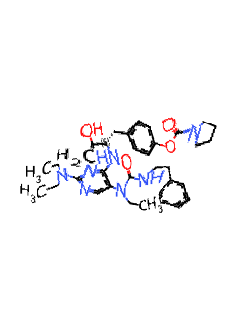 C=C(O)[C@H](Cc1ccc(OC(=O)N2CCCC2)cc1)Nc1nc(N(CC)CC)ncc1N(CC)C(=O)NCCc1ccccc1